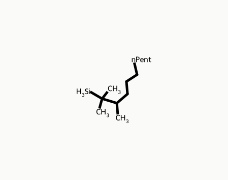 CCCCCCCCC(C)C(C)(C)[SiH3]